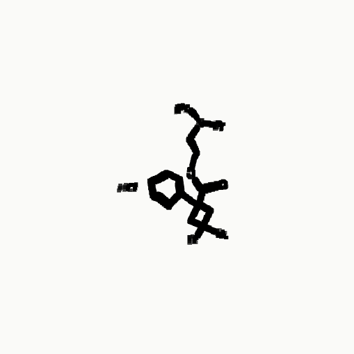 CCC1(CC)CC(C(=O)OCCN(C(C)C)C(C)C)(c2ccccc2)C1.Cl